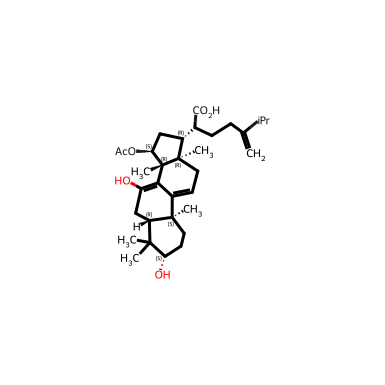 C=C(CCC(C(=O)O)[C@H]1C[C@H](OC(C)=O)[C@@]2(C)C3=C(O)C[C@H]4C(C)(C)[C@@H](O)CC[C@]4(C)C3=CC[C@]12C)C(C)C